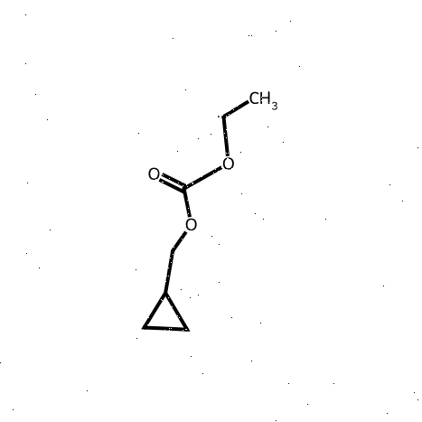 C[CH]OC(=O)OCC1CC1